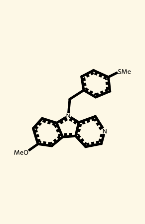 COc1ccc2c(c1)c1ccncc1n2Cc1ccc(SC)cc1